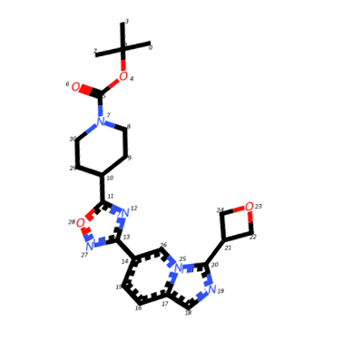 CC(C)(C)OC(=O)N1CCC(c2nc(-c3ccc4cnc(C5COC5)n4c3)no2)CC1